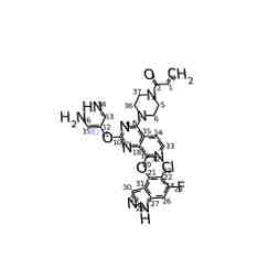 C=CC(=O)N1CCN(c2nc(O/C(C=N)=C/N)nc3c(Oc4c(Cl)c(F)cc5[nH]ncc45)nccc23)CC1